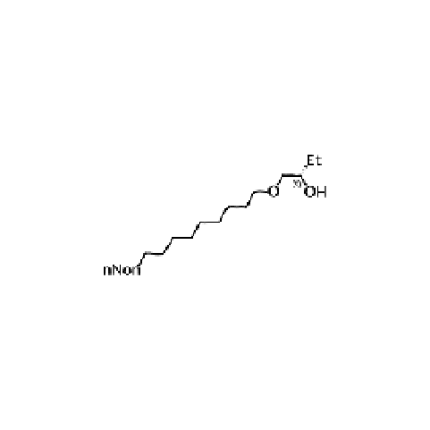 CCCCCCCCCCCCCCCCCCOC[C@@H](O)CC